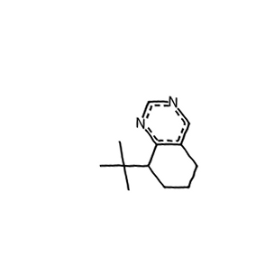 CC(C)(C)C1CCCc2cncnc21